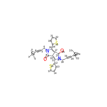 C[Si](C)(C)C#CCN1C(=O)C2=C(c3cccs3)N(CC#C[Si](C)(C)C)C(=O)C2=C1c1cccs1